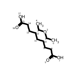 CCOCC.O=C(O)CCCCCCCC(=O)O